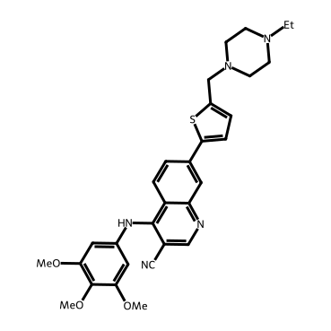 CCN1CCN(Cc2ccc(-c3ccc4c(Nc5cc(OC)c(OC)c(OC)c5)c(C#N)cnc4c3)s2)CC1